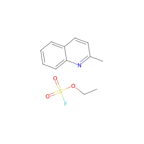 CCOS(=O)(=O)F.Cc1ccc2ccccc2n1